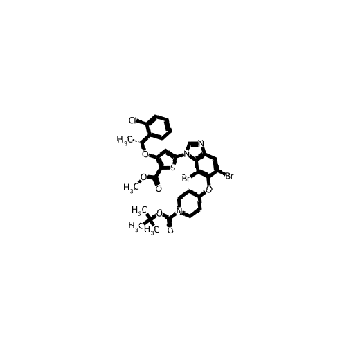 COC(=O)c1sc(-n2cnc3cc(Br)c(OC4CCN(C(=O)OC(C)(C)C)CC4)c(Br)c32)cc1O[C@H](C)c1ccccc1Cl